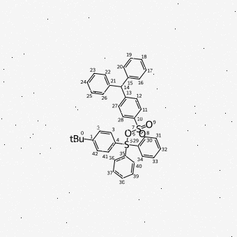 CC(C)(C)c1ccc(S(OS(=O)(=O)c2ccc(C(c3ccccc3)c3ccccc3)cc2)(c2ccccc2)c2ccccc2)cc1